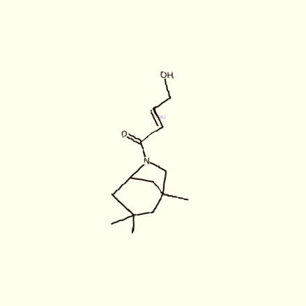 CC1(C)CC2CC(C)(CN2C(=O)/C=C/CO)C1